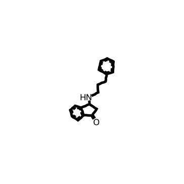 O=C1CC(NCCCc2ccccc2)c2ccccc21